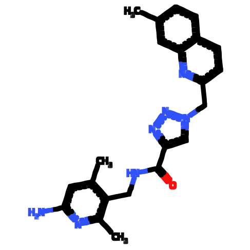 Cc1ccc2ccc(Cn3cc(C(=O)NCc4c(C)cc(N)nc4C)nn3)nc2c1